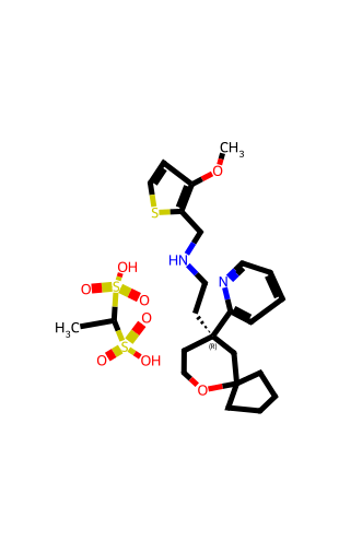 CC(S(=O)(=O)O)S(=O)(=O)O.COc1ccsc1CNCC[C@@]1(c2ccccn2)CCOC2(CCCC2)C1